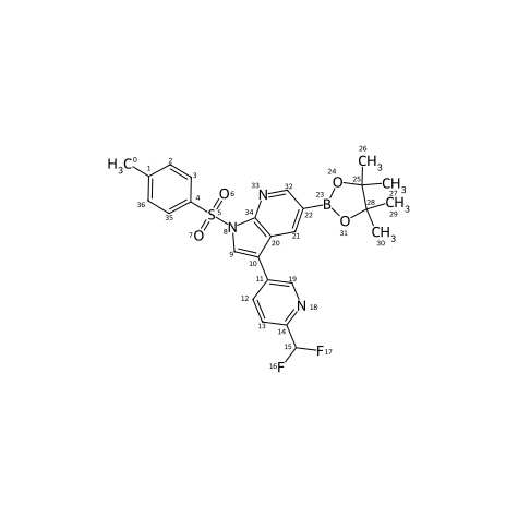 Cc1ccc(S(=O)(=O)n2cc(-c3ccc(C(F)F)nc3)c3cc(B4OC(C)(C)C(C)(C)O4)cnc32)cc1